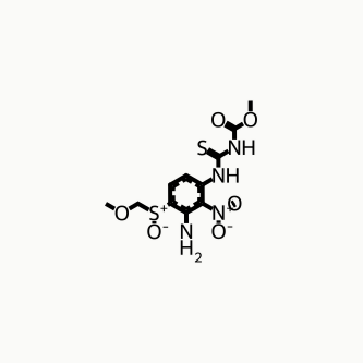 COC[S+]([O-])c1ccc(NC(=S)NC(=O)OC)c([N+](=O)[O-])c1N